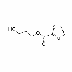 O=C(OCCCO)C1=NCCS1